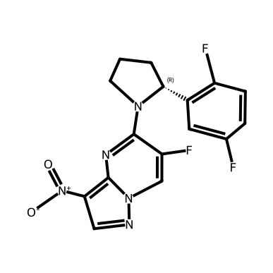 O=[N+]([O-])c1cnn2cc(F)c(N3CCC[C@@H]3c3cc(F)ccc3F)nc12